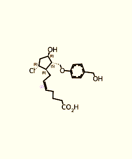 O=C(O)CCC/C=C\C[C@@H]1[C@@H](COc2ccc(CO)cc2)[C@H](O)C[C@H]1Cl